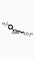 COC(C/C=C/C=C/C(=O)O)c1ccc(C)cc1